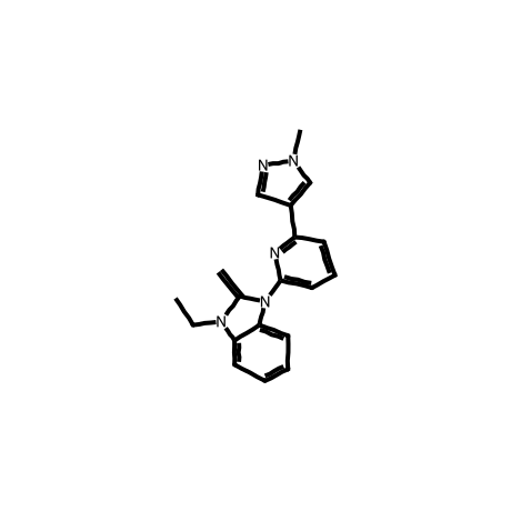 C=C1N(CC)c2ccccc2N1c1cccc(-c2cnn(C)c2)n1